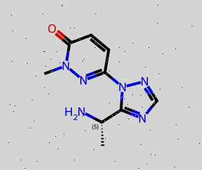 C[C@H](N)c1ncnn1-c1ccc(=O)n(C)n1